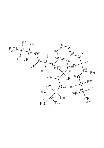 FC(OC(F)(F)C(F)(F)C(F)(F)F)C(F)(F)Oc1cccc(OC(F)(F)C(F)OC(F)(F)C(F)(F)C(F)(F)F)c1OC(F)(F)C(F)OC(F)(F)C(F)(F)C(F)(F)F